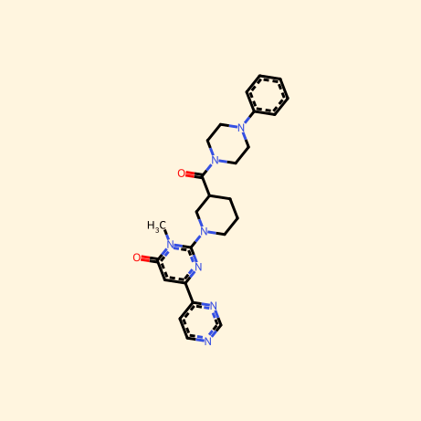 Cn1c(N2CCCC(C(=O)N3CCN(c4ccccc4)CC3)C2)nc(-c2ccncn2)cc1=O